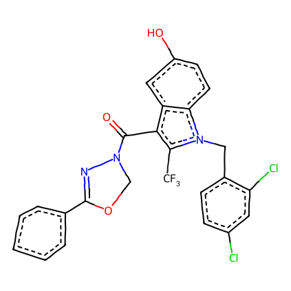 O=C(c1c(C(F)(F)F)n(Cc2ccc(Cl)cc2Cl)c2ccc(O)cc12)N1COC(c2ccccc2)=N1